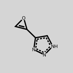 C1=C(c2c[nH]nn2)O1